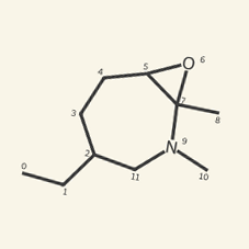 CCC1CCC2OC2(C)N(C)C1